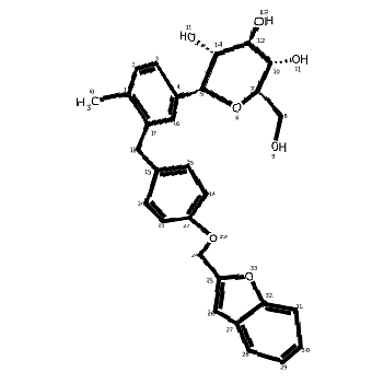 Cc1ccc([C@@H]2O[C@H](CO)[C@@H](O)[C@H](O)[C@H]2O)cc1Cc1ccc(OCc2cc3ccccc3o2)cc1